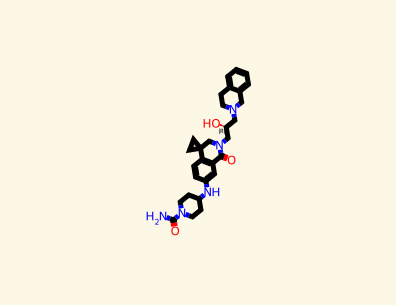 NC(=O)N1CCC(Nc2ccc3c(c2)C(=O)N(C[C@H](O)CN2CCc4ccccc4C2)CC32CC2)CC1